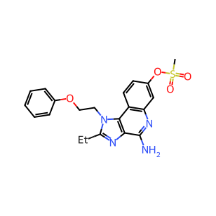 CCc1nc2c(N)nc3cc(OS(C)(=O)=O)ccc3c2n1CCOc1ccccc1